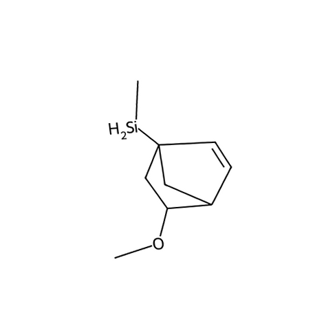 COC1CC2([SiH2]C)C=CC1C2